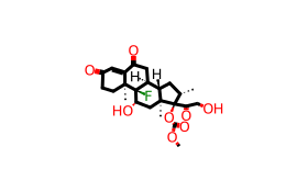 COC(=O)O[C@]1(C(=O)CO)[C@@H](C)C[C@H]2[C@@H]3CC(=O)C4=CC(=O)CC[C@]4(C)[C@@]3(F)[C@@H](O)C[C@@]21C